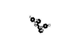 O=C(/C=C/c1cccnc1Nc1ccc(Cl)cc1)c1cccnc1Nc1ccc(F)cc1